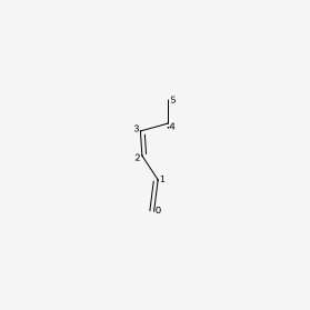 C=C/C=C\[CH]C